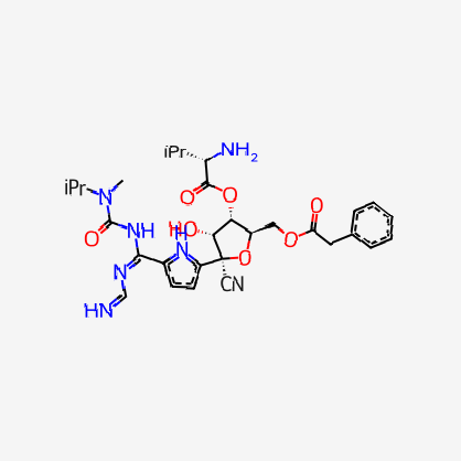 CC(C)[C@H](N)C(=O)O[C@H]1[C@@H](O)[C@](C#N)(c2ccc(/C(=N\C=N)NC(=O)N(C)C(C)C)[nH]2)O[C@@H]1COC(=O)Cc1ccccc1